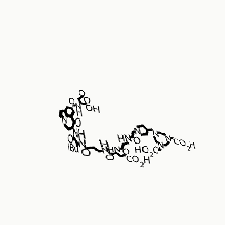 CCC(C)C(NC(=O)CCNC(=O)C(CCC(=O)O)NC(=O)CCNC(=O)CN1CCC(CN2CCN(CC(=O)O)CCN(CC(=O)O)CC2)CC1)C(=O)N[C@H]1CCn2ccc3c2C(=C[C@@H](C(=O)NC2CC(=O)OC2O)C3)C1=O